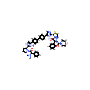 CN(C)[C@@H](C(=O)N1CCC[C@H]1c1ncc(-c2ccc(-c3ccc(-c4cnc([C@@H]5SCCN5C(=O)[C@H](NC(=O)N5CCOCC5)c5ccccc5)[nH]4)cc3)cc2)[nH]1)c1ccccc1